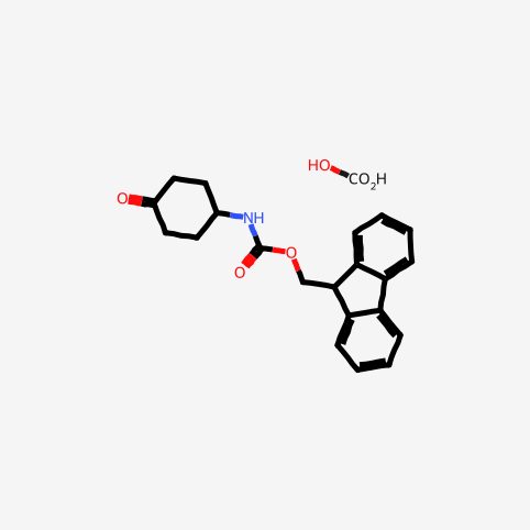 O=C(O)O.O=C1CCC(NC(=O)OCC2c3ccccc3-c3ccccc32)CC1